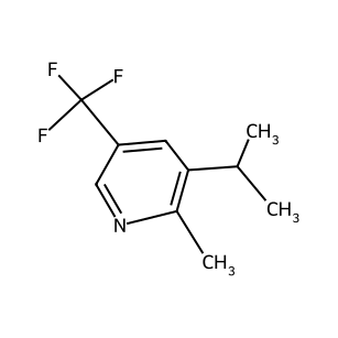 Cc1ncc(C(F)(F)F)cc1C(C)C